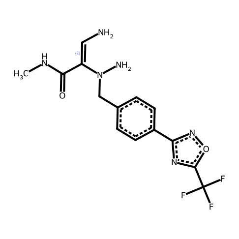 CNC(=O)/C(=C/N)N(N)Cc1ccc(-c2noc(C(F)(F)F)n2)cc1